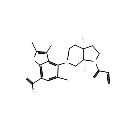 C=CC(=O)N1CC[C@@H]2CCN(c3c(F)cc(C(N)=O)c4[nH]c(C)c(Cl)c34)C[C@@H]21